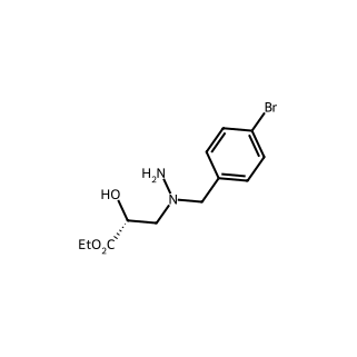 CCOC(=O)[C@H](O)CN(N)Cc1ccc(Br)cc1